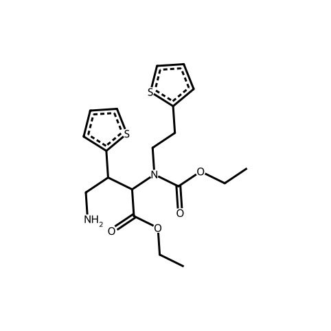 CCOC(=O)C(C(CN)c1cccs1)N(CCc1cccs1)C(=O)OCC